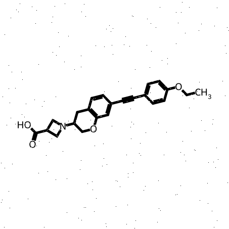 CCOc1ccc(C#Cc2ccc3c(c2)OCC(N2CC(C(=O)O)C2)C3)cc1